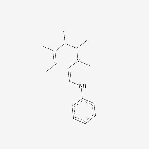 C/C=C(\C)C(C)C(C)N(C)/C=C\Nc1ccccc1